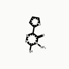 Nn1c(S)nnc(-c2ccco2)c1=O